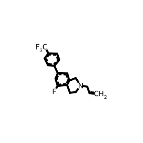 C=CCN1CCc2c(F)cc(-c3ccc(C(F)(F)F)cc3)cc2C1